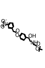 CC(C)(C)OC(=O)CNCC(O)c1ccc(OC(=O)Cc2cccc([N+](=O)[O-])c2)cc1